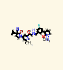 COC1=C(c2cc(F)cc(CNCC(=O)c3cc(N4CCC(C#N)(C5CC5)C4=O)cc(C)n3)c2)C=CCN1